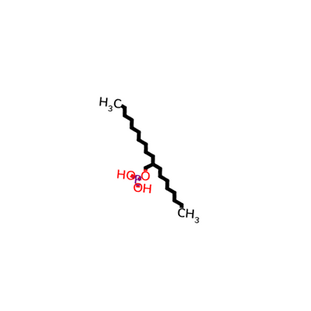 CCCCCCCCCCC(CCCCCCCC)COP(O)O